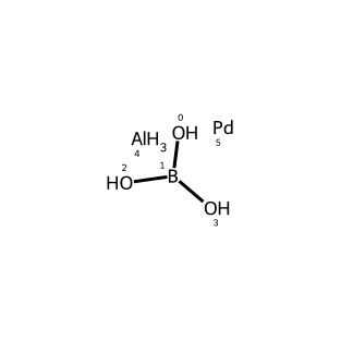 OB(O)O.[AlH3].[Pd]